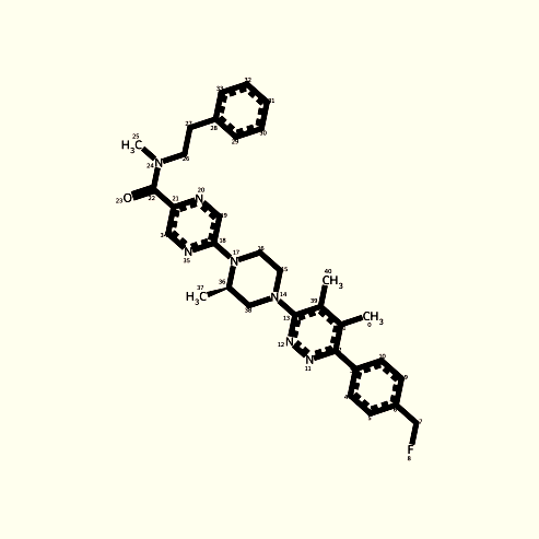 Cc1c(-c2ccc(CF)cc2)nnc(N2CCN(c3cnc(C(=O)N(C)CCc4ccccc4)cn3)[C@H](C)C2)c1C